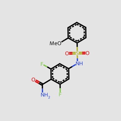 COc1ccccc1S(=O)(=O)Nc1cc(F)c(C(N)=O)c(F)c1